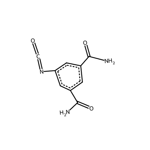 NC(=O)c1cc(N=C=O)cc(C(N)=O)c1